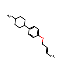 C/C=C/COc1ccc(C2CCC(C)CC2)cc1